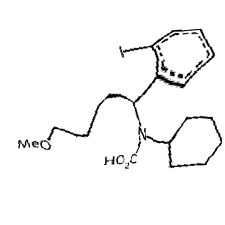 COCCC[C@@H](c1ccccc1I)N(C(=O)O)C1CCCCC1